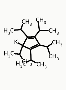 CC(C)C1=C(C(C)C)[C]([K])(C(C)C)C(C(C)C)=C1C(C)C